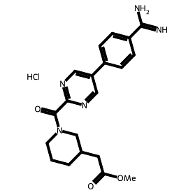 COC(=O)CC1CCCN(C(=O)c2ncc(-c3ccc(C(=N)N)cc3)cn2)C1.Cl